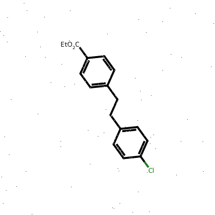 CCOC(=O)c1ccc(CCc2ccc(Cl)cc2)cc1